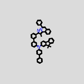 Cc1c(-c2cccc(-c3cccc(N(c4ccc(-c5ccccc5)cc4)c4ccc5c(c4)C(C)(C)c4ccccc4-5)c3)c2)nn2c(-c3ccccc3)cc3ccccc3c12